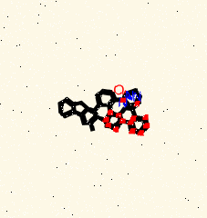 Cc1cc2c(c(-c3ccc4oc5ccccc5c4c3-c3cccc(-c4ccccc4)c3-c3nnncc3-c3ccccc3-c3ccccc3)c1C)Cc1ccccc1-2